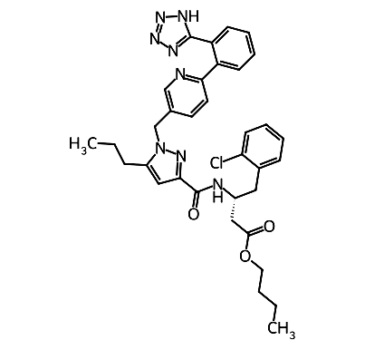 CCCCOC(=O)C[C@@H](Cc1ccccc1Cl)NC(=O)c1cc(CCC)n(Cc2ccc(-c3ccccc3-c3nnn[nH]3)nc2)n1